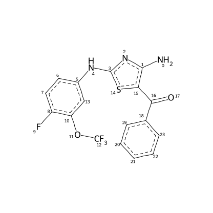 Nc1nc(Nc2ccc(F)c(OC(F)(F)F)c2)sc1C(=O)c1ccccc1